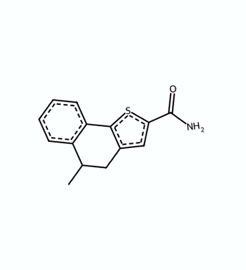 CC1Cc2cc(C(N)=O)sc2-c2ccccc21